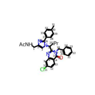 CC(=O)NCc1cn(C(c2nc3cc(Cl)ccc3c(=O)n2Cc2ccccc2)C(C)C)c(-c2ccc(C)cc2)n1